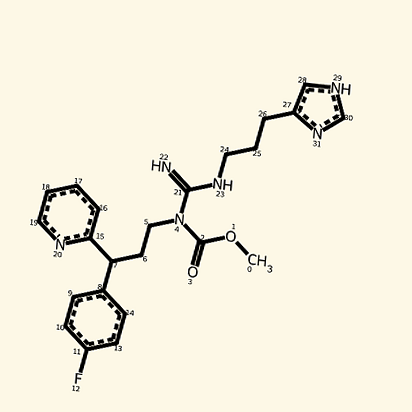 COC(=O)N(CCC(c1ccc(F)cc1)c1ccccn1)C(=N)NCCCc1c[nH]cn1